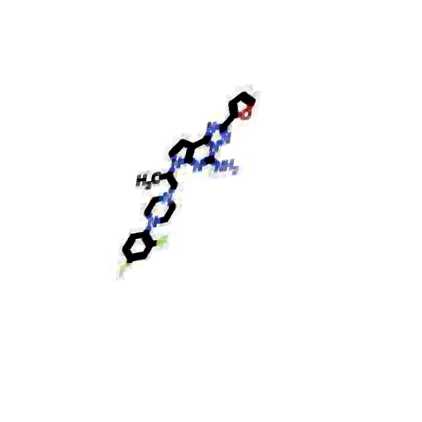 CC(CN1CCN(c2ccc(F)cc2F)CC1)n1ccc2c1nc(N)n1nc(-c3ccco3)nc21